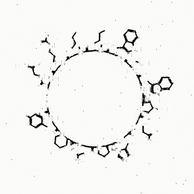 CCCC[C@H]1C(=O)N(C)[C@@H](CCCC)C(=O)N[C@@H](CCCNC(=N)N)C(=O)N[C@H](C(=O)NCC(N)=O)CSCC(=O)N[C@@H](Cc2ccc(O)cc2)C(=O)N2CCCC[C@H]2C(=O)N[C@@H](CC(N)=O)C(=O)N2CCC[C@H]2C(=O)N[C@@H](Cc2cnc[nH]2)C(=O)N[C@@H](CCC(=O)O)C(=O)N2C[C@H](O)C[C@H]2C(=O)N[C@@H](Cc2c[nH]c3ccccc23)C(=O)N[C@@H](CO)C(=O)N[C@@H](Cc2c[nH]c3ccccc23)C(=O)N1C